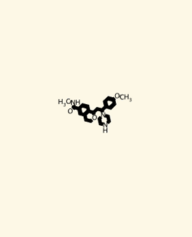 CNC(=O)c1ccc2c(c1)CCOC2CC(c1ccc(OC)cc1)N1CCNCC1